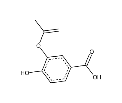 C=C(C)Oc1cc(C(=O)O)ccc1O